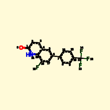 O=c1ccc2cc(-c3ccc(C(F)(F)F)cc3)cc(F)c2[nH]1